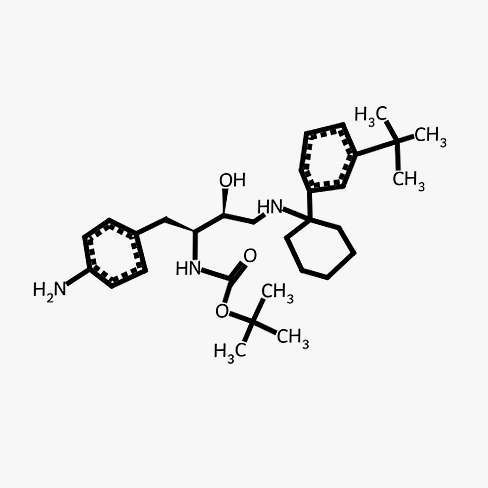 CC(C)(C)OC(=O)N[C@@H](Cc1ccc(N)cc1)[C@@H](O)CNC1(c2cccc(C(C)(C)C)c2)CCCCC1